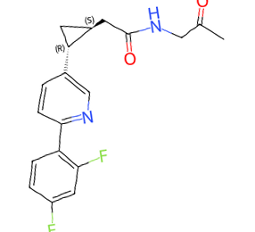 CC(=O)CNC(=O)C[C@@H]1C[C@H]1c1ccc(-c2ccc(F)cc2F)nc1